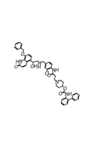 O=C(CCN1CCC(OC(=O)Nc2ccccc2-c2ccccc2)CC1)Nc1ccc(CNC[C@@H](O)c2ccc(OCc3ccccc3)c3[nH]c(=O)ccc23)cc1Cl